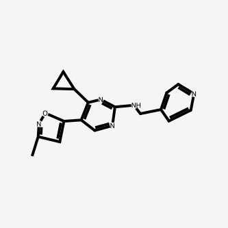 Cc1cc(-c2cnc(NCc3ccncc3)nc2C2CC2)on1